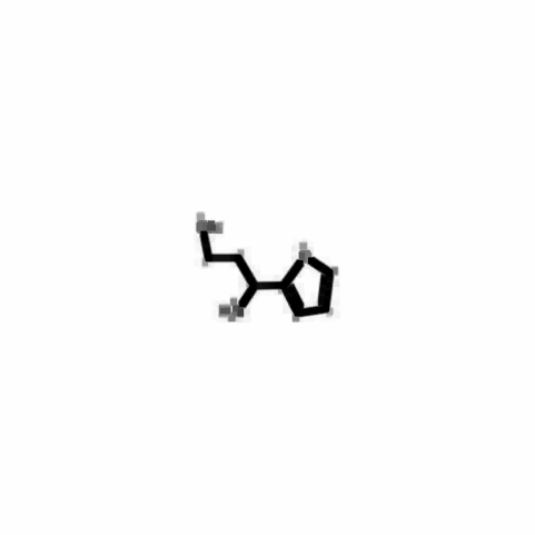 CC(=O)OCCC(N)c1ccco1